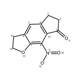 O=C1CCc2cc3c(c([N+](=O)[O-])c21)OCC3